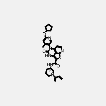 C=CC(=C)N1CCC[C@@H](NC(=O)c2sc3nccc4c3c2NC(=O)N4c2cnc(OC3CCCC3)cc2C)C1